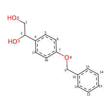 OCC(O)c1ccc(OCc2ccccc2)cc1